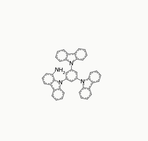 Nc1cccc2c3ccccc3n(-c3cc(-n4c5ccccc5c5ccccc54)cc(-n4c5ccccc5c5ccccc54)c3)c12